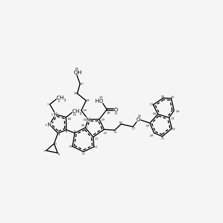 CCn1nc(C2CC2)c(-c2cccc3c(CCCOc4cccc5ccccc45)c(C(=O)O)n(CCCCO)c23)c1C